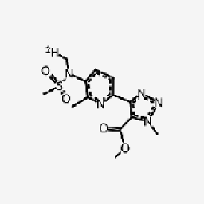 [2H]CN(c1ccc(-c2nnn(C)c2C(=O)OC)nc1C)S(C)(=O)=O